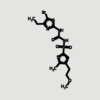 CCc1nc(NC(=O)NS(=O)(=O)c2cc(CCOC)c(C)s2)sc1Br